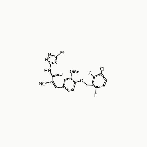 CCc1nnc(NC(=O)C(C#N)=Cc2ccc(OCc3c(F)ccc(Cl)c3F)c(OC)c2)s1